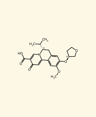 COc1cc2c(cc1O[C@H]1CCOC1)C[C@@H](C(C)C)n1cc(C(=O)O)c(=O)cc1-2